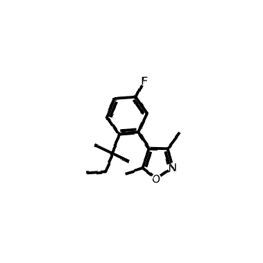 CCC(C)(C)c1ccc(F)cc1-c1c(C)noc1C